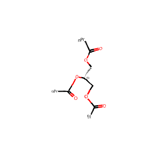 CCCC(=O)OC[C@H](COC(=O)CC)OC(=O)CCC